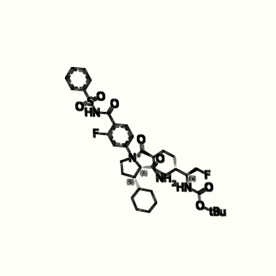 CC(C)(C)OC(=O)N[C@H](CF)[C@H]1CC[C@H](C(=O)[N+]2(c3ccc(C(=O)NS(=O)(=O)c4ccccc4)c(F)c3)CC[C@@H](C3CCCCC3)[C@H]2C(N)=O)CC1